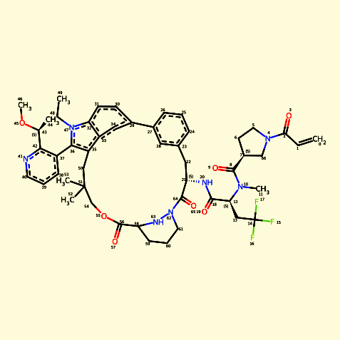 C=CC(=O)N1CC[C@H](C(=O)N(C)[C@@H](CC(F)(F)F)C(=O)N[C@H]2Cc3cccc(c3)-c3ccc4c(c3)c(c(-c3cccnc3[C@H](C)OC)n4CC)CC(C)(C)COC(=O)C3CCCN(N3)C2=O)C1